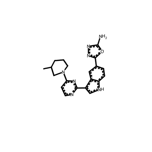 CC1CCCN(c2ccnc(-c3c[nH]c4ccc(-c5nnc(N)o5)cc34)n2)C1